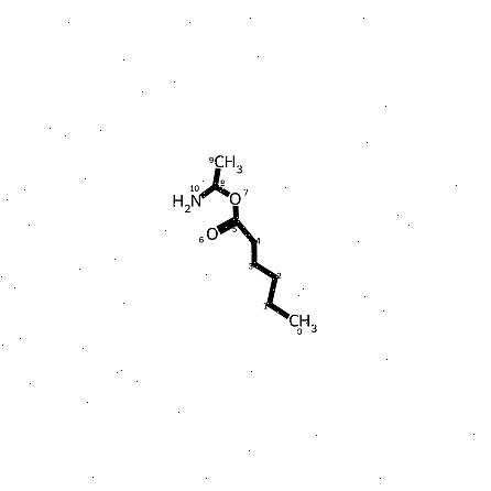 CCCCCC(=O)OC(C)N